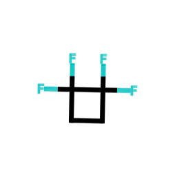 FC1(F)CCC1(F)F